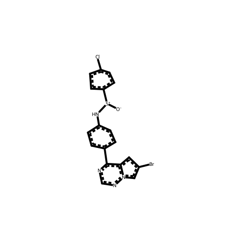 [O-][S+](Nc1ccc(-c2ncnn3cc(Br)cc23)cc1)c1ccc(Cl)cc1